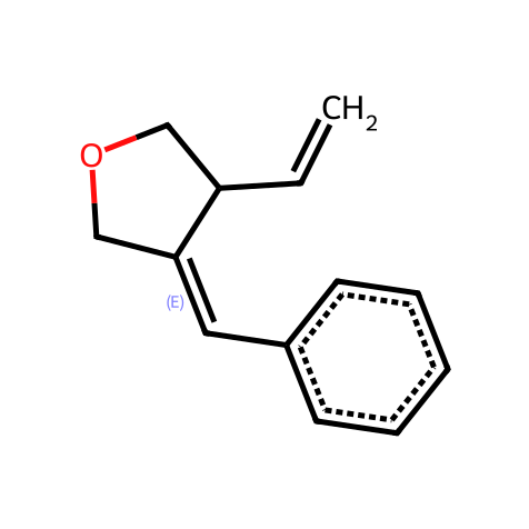 C=CC1COC/C1=C/c1ccccc1